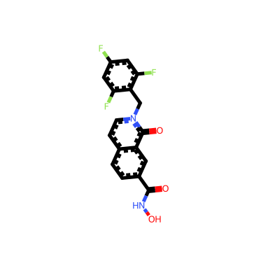 O=C(NO)c1ccc2ccn(Cc3c(F)cc(F)cc3F)c(=O)c2c1